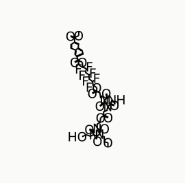 COCCn1c(=O)n(CCO)c(=O)n(CCOC(=O)CCn2c(=O)[nH]c(=O)n(CCC(=O)OC(F)C(F)C(F)C(F)C(F)C(F)C(F)OC(=O)c3ccc4cc(C(=O)OC)ccc4c3)c2=O)c1=O